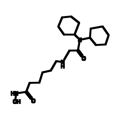 O=C(CCCCCNCC(=O)N(C1CCCCC1)C1CCCCC1)NO